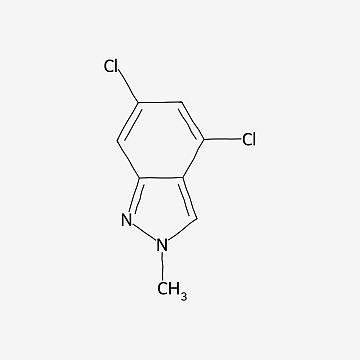 Cn1cc2c(Cl)cc(Cl)cc2n1